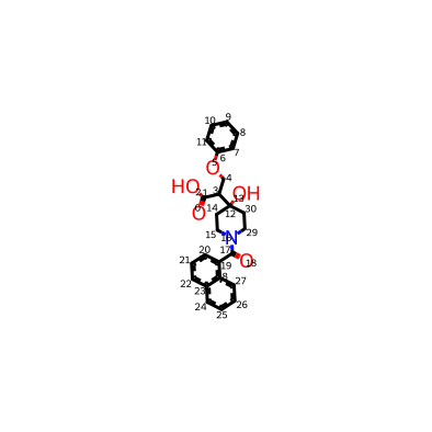 O=C(O)C(COc1ccccc1)C1(O)CCN(C(=O)c2cccc3ccccc23)CC1